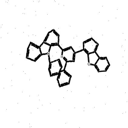 c1ccc(-c2cc(-c3cccc4c3oc3ccccc34)cc(-c3cccc4c5ccccc5n(-c5ccccc5)c34)n2)cc1